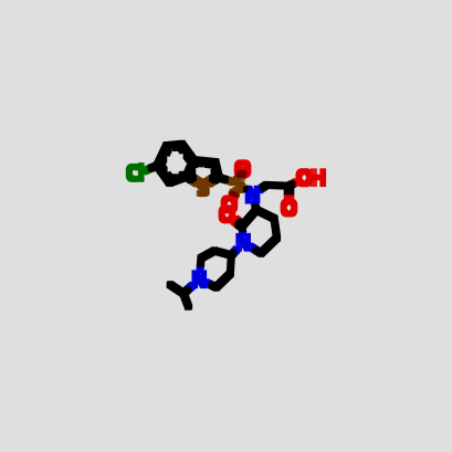 CC(C)N1CCC(N2CCCC(N(CC(=O)O)S(=O)(=O)c3cc4ccc(Cl)cc4s3)C2=O)CC1